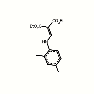 CCOC(=O)C(=CNc1ccc(I)cc1C)C(=O)OCC